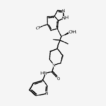 CC(C)(C1CCN(C(=O)Nc2cccnc2)CC1)[C@H](O)c1cc(Cl)cc2cn[nH]c12